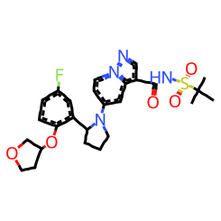 CC(C)(C)S(=O)(=O)NC(=O)c1cnn2ccc(N3CCCC3c3cc(F)ccc3OC3CCOC3)cc12